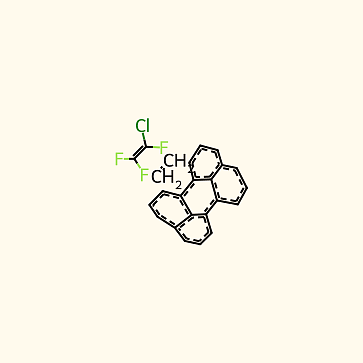 C=C.FC(F)=C(F)Cl.c1cc2cccc3c4cccc5cccc(c(c1)c23)c54